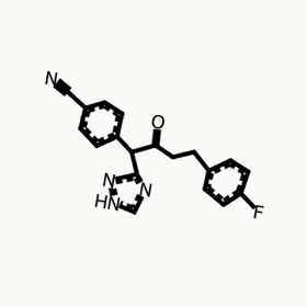 N#Cc1ccc(C(C(=O)CCc2ccc(F)cc2)c2nc[nH]n2)cc1